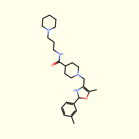 CC1=C(CN2CCC(C(=O)NCCCN3CCCCC3)CC2)NC(c2cccc(C)c2)O1